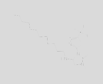 CCCCCCCCCCCCNC1CN(C)C(=O)N1c1nnc(C(F)(F)F)s1